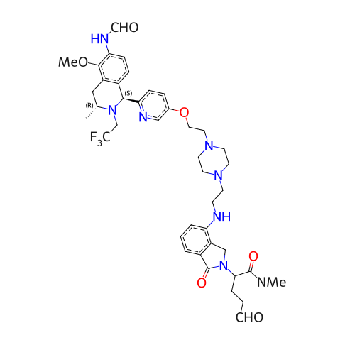 CNC(=O)C(CCC=O)N1Cc2c(NCCN3CCN(CCOc4ccc([C@@H]5c6ccc(NC=O)c(OC)c6C[C@@H](C)N5CC(F)(F)F)nc4)CC3)cccc2C1=O